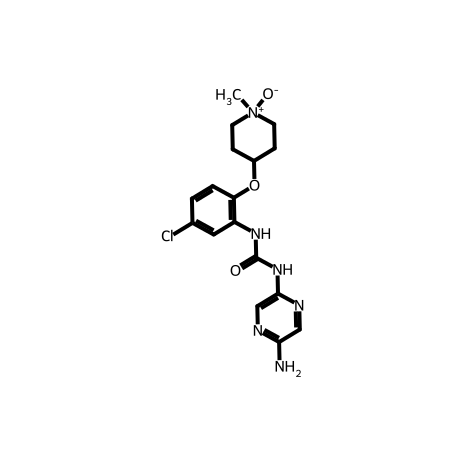 C[N+]1([O-])CCC(Oc2ccc(Cl)cc2NC(=O)Nc2cnc(N)cn2)CC1